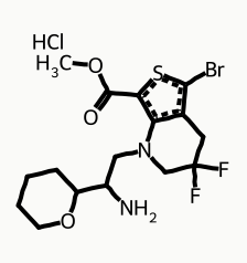 COC(=O)c1sc(Br)c2c1N(CC(N)C1CCCCO1)CC(F)(F)C2.Cl